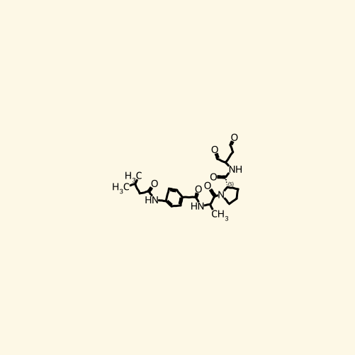 CC(C)CC(=O)Nc1ccc(C(=O)NC(C)C(=O)N2CCC[C@H]2C(=O)NC(C=O)CC=O)cc1